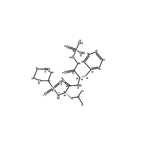 CC(C)C[C@H](NS(=O)(=O)C1CNCCO1)C(=O)N[C@@H](Cc1ccccc1)C(=O)COP(=O)(O)O